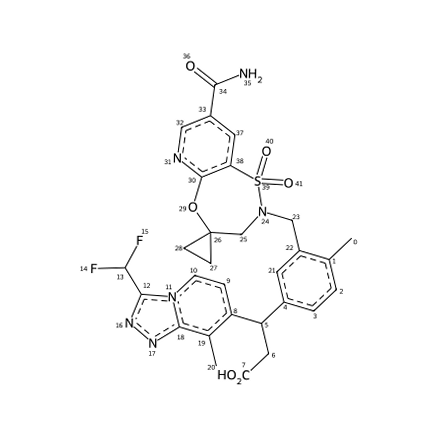 Cc1ccc(C(CC(=O)O)c2ccn3c(C(F)F)nnc3c2C)cc1CN1CC2(CC2)Oc2ncc(C(N)=O)cc2S1(=O)=O